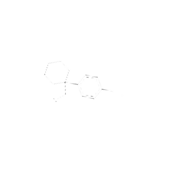 Cc1ccc(C2(CN)C[CH]CCC2)cc1